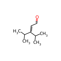 CC(C)C(=CC=O)C(C)C